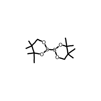 CC1(C)COB(B2OCC(C)(C)C(C)(C)O2)OC1(C)C